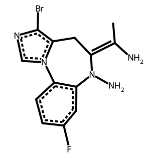 C/C(N)=C1\Cc2c(Br)ncn2-c2ccc(F)cc2N1N